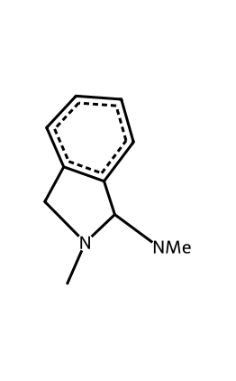 CNC1c2ccccc2CN1C